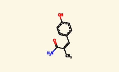 CC(=Cc1ccc(O)cc1)C(N)=O